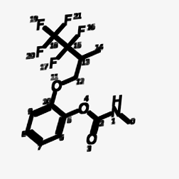 CNC(=O)Oc1ccccc1OCC(C)C(F)(F)C(F)(F)F